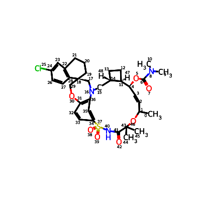 CC1C=C[C@H](OC(=O)N(C)C)[C@@H]2CC[C@H]2CN2C[C@@]3(CCCc4cc(Cl)ccc43)COc3ccc(cc32)S(=O)(=O)NC(=O)C(C)(C)O1